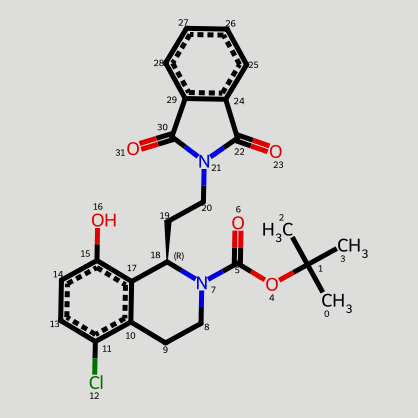 CC(C)(C)OC(=O)N1CCc2c(Cl)ccc(O)c2[C@H]1CCN1C(=O)c2ccccc2C1=O